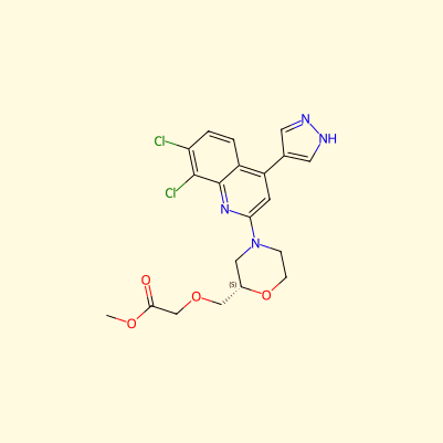 COC(=O)COC[C@@H]1CN(c2cc(-c3cn[nH]c3)c3ccc(Cl)c(Cl)c3n2)CCO1